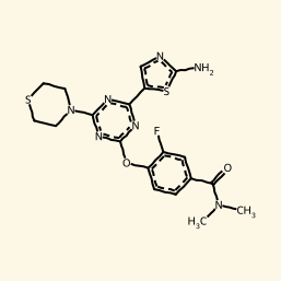 CN(C)C(=O)c1ccc(Oc2nc(-c3cnc(N)s3)nc(N3CCSCC3)n2)c(F)c1